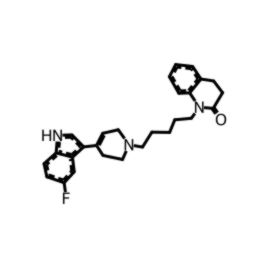 O=C1CCc2ccccc2N1CCCCCN1CC=C(c2c[nH]c3ccc(F)cc23)CC1